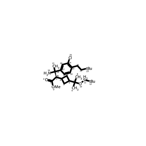 COC(=O)[C@H](C1CC(C(C)(C)O[SiH2]C(C)(C)C)C1)C(C)(N)c1ccc(CCC(C)(C)C)c(Cl)c1